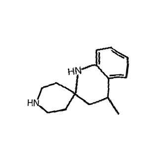 CC1CC2(CCNCC2)Nc2ccccc21